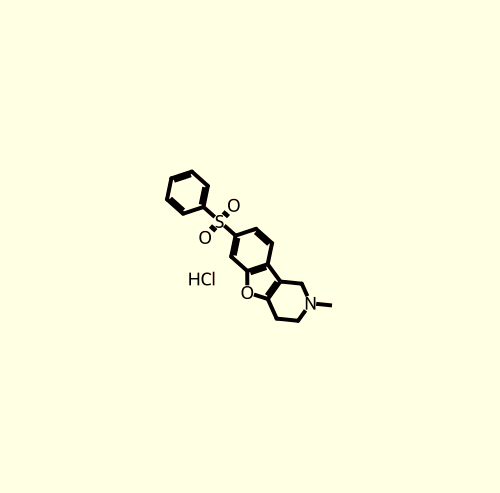 CN1CCc2oc3cc(S(=O)(=O)c4ccccc4)ccc3c2C1.Cl